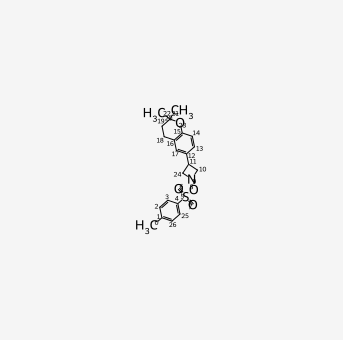 Cc1ccc(S(=O)(=O)ON2CC(c3ccc4c(c3)CCC(C)(C)O4)C2)cc1